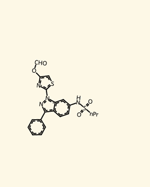 CCCS(=O)(=O)Nc1ccc2c(-c3ccccc3)nn(-c3nc(OC=O)cs3)c2c1